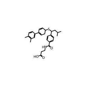 Cc1ccc(C2=CCC(SC(CC(C)C)c3ccc(C(=O)NCCC(=O)O)cc3)C=C2)cc1C